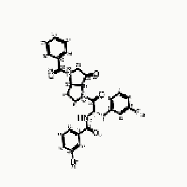 O=C(N[C@@H](Cc1cccc(F)c1)C(=O)N1CCC2C1C(=O)CN2C(=O)c1ccccc1)c1cccc(Br)c1